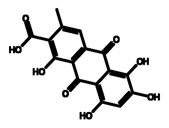 Cc1cc2c(c(O)c1C(=O)O)C(=O)c1c(O)cc(O)c(O)c1C2=O